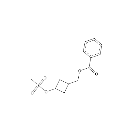 CS(=O)(=O)OC1CC(COC(=O)c2ccccc2)C1